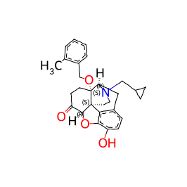 Cc1ccccc1CO[C@@]12CCC(=O)[C@@H]3Oc4c(O)ccc5c4[C@@]31CCN(CC1CC1)[C@@H]2C5